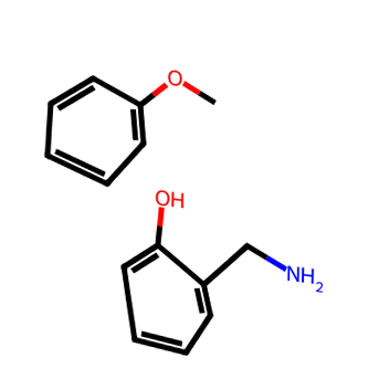 COc1ccccc1.NCc1ccccc1O